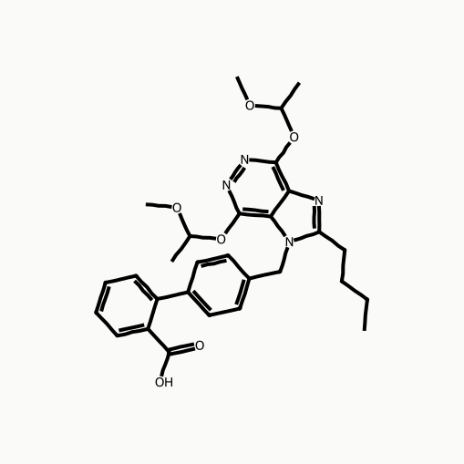 CCCCc1nc2c(OC(C)OC)nnc(OC(C)OC)c2n1Cc1ccc(-c2ccccc2C(=O)O)cc1